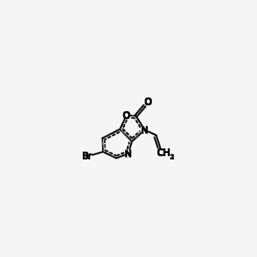 C=Cn1c(=O)oc2cc(Br)cnc21